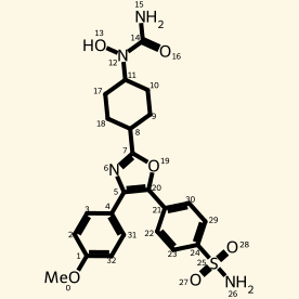 COc1ccc(-c2nc(C3CCC(N(O)C(N)=O)CC3)oc2-c2ccc(S(N)(=O)=O)cc2)cc1